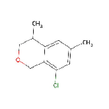 Cc1cc(Cl)c2c(c1)C(C)COC2